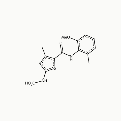 COc1cccc(C)c1NC(=O)c1sc(NC(=O)O)nc1C